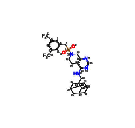 O=S(=O)(Cc1cc(C(F)(F)F)cc(C(F)(F)F)c1)N1CCc2c(ncnc2NCC23CC4CC(CC(C4)C2)C3)C1